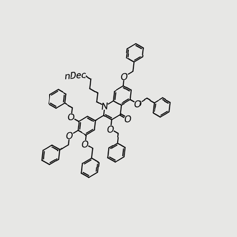 CCCCCCCCCCCCCCn1c(-c2cc(OCc3ccccc3)c(OCc3ccccc3)c(OCc3ccccc3)c2)c(OCc2ccccc2)c(=O)c2c(OCc3ccccc3)cc(OCc3ccccc3)cc21